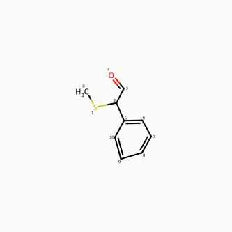 CSC([C]=O)c1ccccc1